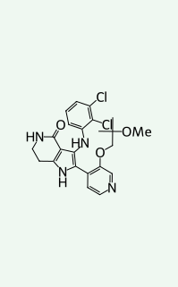 COC(C)(C)COc1cnccc1-c1[nH]c2c(c1Nc1cccc(Cl)c1Cl)C(=O)NCC2